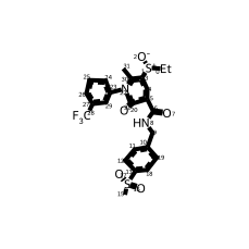 CC[S+]([O-])c1cc(C(=O)NCc2ccc(S(C)(=O)=O)cc2)c(=O)n(-c2cccc(C(F)(F)F)c2)c1C